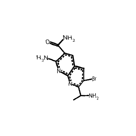 CC(N)c1nc2nc(N)c(C(N)=O)cc2cc1Br